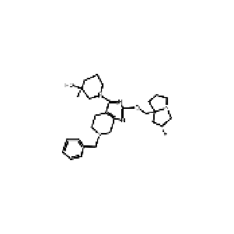 C[C@@]1(O)CCCN(c2nc(OC[C@@]34CCCN3C[C@H](F)C4)nc3c2CCN(Cc2ccccc2)C3)C1